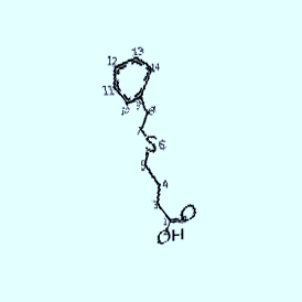 O=C(O)CCCSCCc1ccccc1